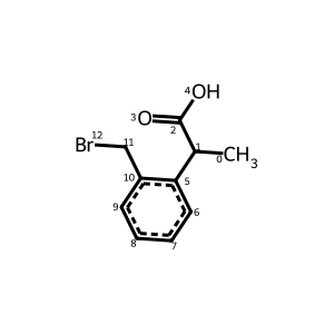 CC(C(=O)O)c1ccccc1CBr